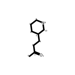 CC(=O)CCC1CCC[N]C1